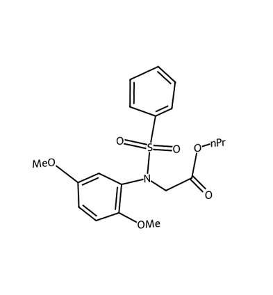 CCCOC(=O)CN(c1cc(OC)ccc1OC)S(=O)(=O)c1ccccc1